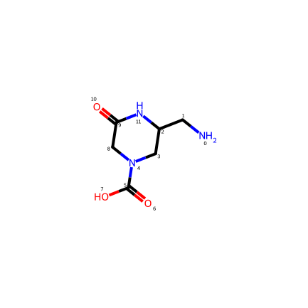 NCC1CN(C(=O)O)CC(=O)N1